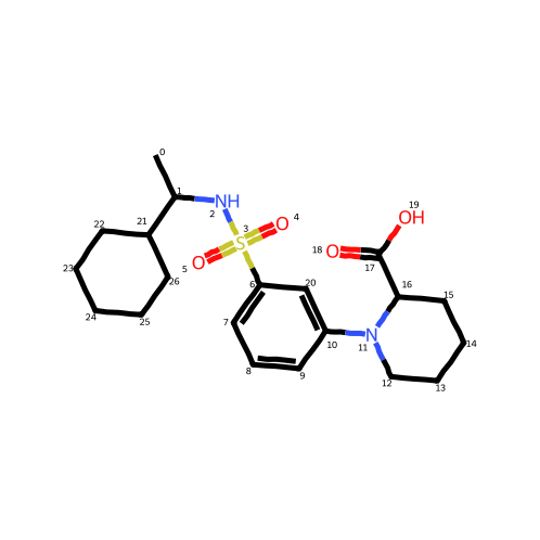 CC(NS(=O)(=O)c1cccc(N2CCCCC2C(=O)O)c1)C1CCCCC1